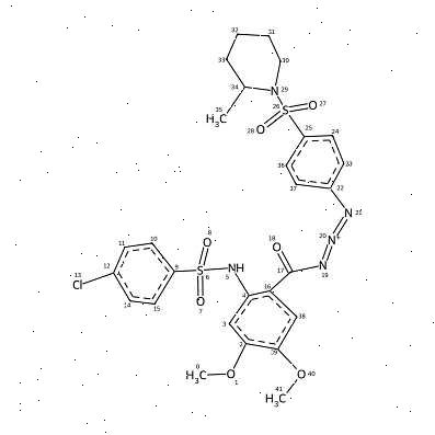 COc1cc(NS(=O)(=O)c2ccc(Cl)cc2)c(C(=O)N=[N+]=Nc2ccc(S(=O)(=O)N3CCCCC3C)cc2)cc1OC